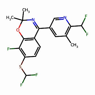 Cc1cc(C2=NC(C)(C)Oc3c2ccc(SC(F)F)c3F)cnc1C(F)F